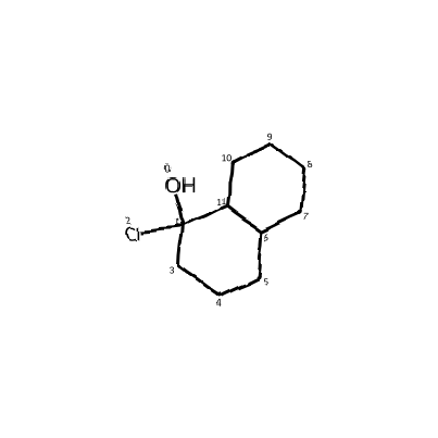 OC1(Cl)CCCC2CCCCC21